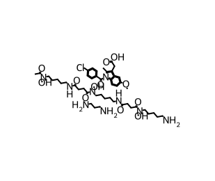 CC(=O)N(O)CCCCCNC(=O)CCC(=O)N(O)CCCCCNC(=O)CCC(=O)N(O)CCCCCN.COc1ccc2c(c1)c(CC(=O)O)c(C)n2C(=O)c1ccc(Cl)cc1.NCCCN